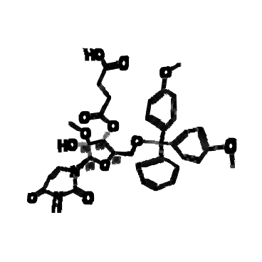 COc1ccc(C(OC[C@H]2O[C@@H](n3ccc(=O)[nH]c3=O)[C@@](O)(OC)[C@@H]2OC(=O)CCC(=O)O)(c2ccccc2)c2ccc(OC)cc2)cc1